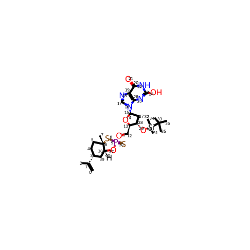 C=C(C)[C@@H]1CC[C@]2(C)SP(=S)(OC[C@H]3O[C@@H](n4cnc5c(=O)[nH]c(O)nc54)C[C@@H]3O[Si](C)(C)C(C)(C)C)O[C@H]2C1